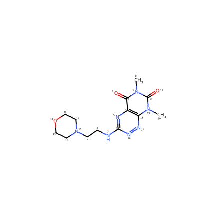 Cn1c(=O)c2nc(NCCN3CCOCC3)nnc2n(C)c1=O